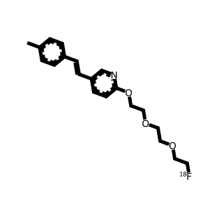 Cc1ccc(/C=C/c2ccc(OCCOCCOCC[18F])nc2)cc1